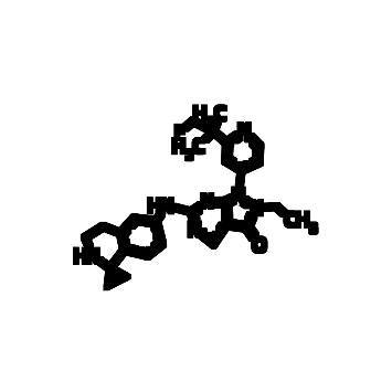 CCn1c(=O)c2cnc(Nc3ccc4c(c3)CCNC43CC3)nc2n1-c1ccnc(C(C)(C)CF)c1